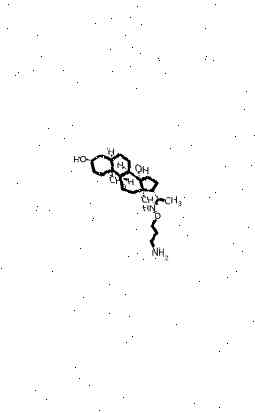 CC(NOCCCN)[C@H]1CC[C@]2(O)[C@@H]3CC[C@@H]4C[C@@H](O)CC[C@]4(C)[C@H]3CC[C@]12C